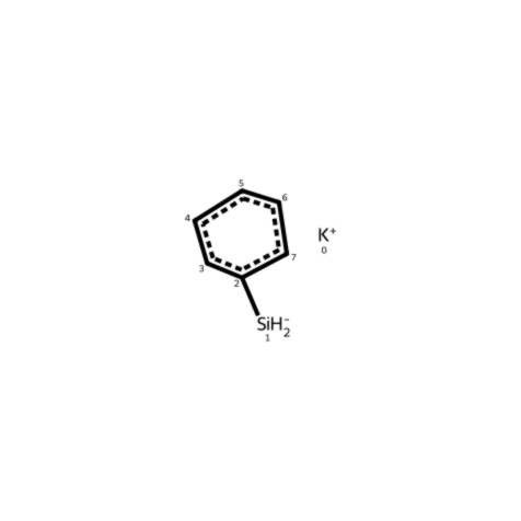 [K+].[SiH2-]c1ccccc1